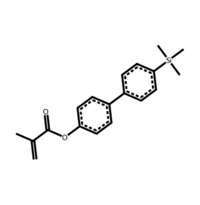 C=C(C)C(=O)Oc1ccc(-c2ccc([Si](C)(C)C)cc2)cc1